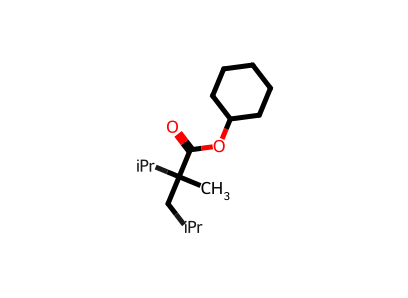 CC(C)CC(C)(C(=O)OC1CCCCC1)C(C)C